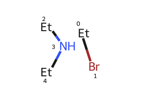 CCBr.CCNCC